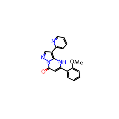 COc1ccccc1-c1cc(=O)n2ncc(-c3ccccn3)c2[nH]1